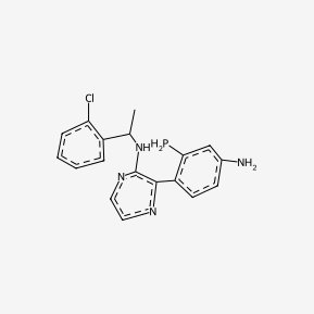 CC(Nc1nccnc1-c1ccc(N)cc1P)c1ccccc1Cl